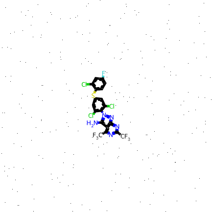 Nc1c2c(C(F)(F)F)nc(C(F)(F)F)nc2nn1-c1c(Cl)cc(Sc2ccc(F)cc2Cl)cc1Cl